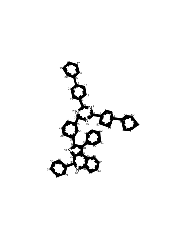 c1ccc(-c2ccc(-c3nc(-c4ccc(-c5ccccc5)cc4)nc(-c4cccc(-c5sc6c(-c7ccccc7)nc7ccccc7c6c5-c5ccccc5)c4)n3)cc2)cc1